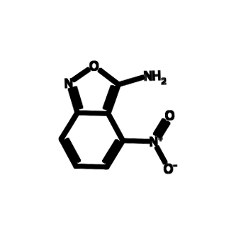 Nc1onc2cccc([N+](=O)[O-])c12